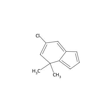 CC1(C)C=C(Cl)C=C2C=CC=C21